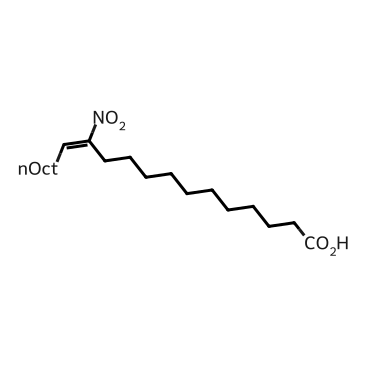 CCCCCCCCC=C(CCCCCCCCCCC(=O)O)[N+](=O)[O-]